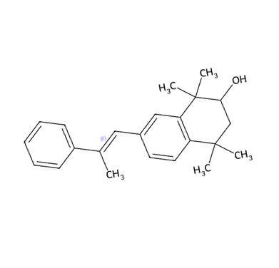 C/C(=C\c1ccc2c(c1)C(C)(C)C(O)CC2(C)C)c1ccccc1